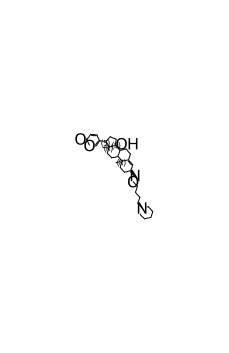 C[C@]12CCC(=NOCCCCN3CCCCC3)C=C1CCC1C2CC[C@]2(C)[C@@H](c3ccc(=O)oc3)CC[C@]12O